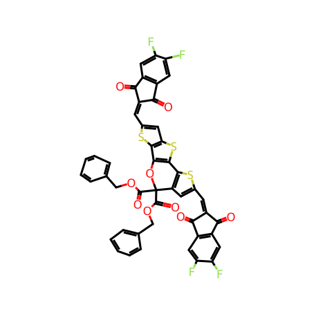 O=C1C(=Cc2cc3c(s2)-c2sc4cc(C=C5C(=O)c6cc(F)c(F)cc6C5=O)sc4c2OC3(C(=O)OCc2ccccc2)C(=O)OCc2ccccc2)C(=O)c2cc(F)c(F)cc21